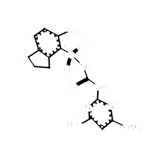 COc1cc(C)nc(NC(=O)NS(=O)(=O)c2c([N+](=O)[O-])ccc3c2CCC3)n1